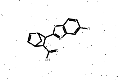 O=C(O)C1C2C=CC(C2)C1c1nc2cc(Cl)ccc2s1